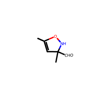 CC1=CC(C)(C=O)NO1